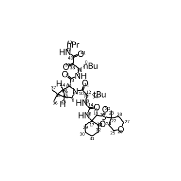 CCCC[C@H](NC(=O)[C@@H]1[C@@H]2[C@H](CN1C(=O)[C@@H](NC(=O)NC1(CS(=O)(=O)C3(C)CCOCC3)CCCCC1)C(C)(C)C)C2(C)C)C(=O)C(=O)NCCC